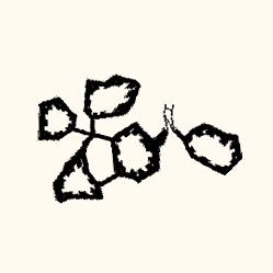 c1ccc(Nc2ccc3c(c2)C(c2ccccc2)(c2ccccc2)c2ccccc2-3)cc1